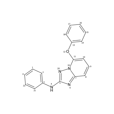 c1ccc(Nc2nc3cccc(Oc4ccccc4)n3n2)cc1